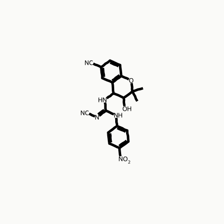 CC1(C)Oc2ccc(C#N)cc2C(N/C(=N\C#N)Nc2ccc([N+](=O)[O-])cc2)C1O